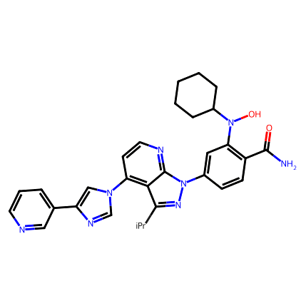 CC(C)c1nn(-c2ccc(C(N)=O)c(N(O)C3CCCCC3)c2)c2nccc(-n3cnc(-c4cccnc4)c3)c12